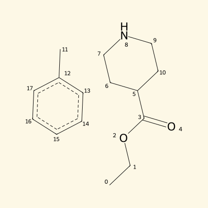 CCOC(=O)C1CCNCC1.Cc1ccccc1